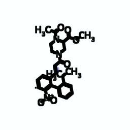 COC(=O)C1CN(C(=O)/C=C/c2cc[c]c([N+](=O)[O-])c2-c2ccccc2C(C)C)CCN1C(C)=O